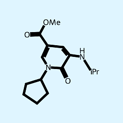 COC(=O)c1cc(NC(C)C)c(=O)n(C2CCCC2)c1